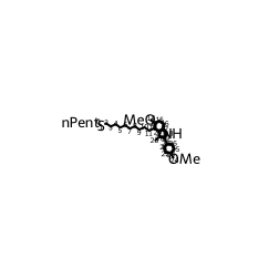 CCCCCSCCCCCCCCCCc1c(OC)ccc2[nH]c(-c3ccc(OC)cc3)c(C)c12